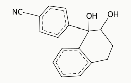 N#Cc1ccc(C2(O)c3ccccc3CCC2O)cc1